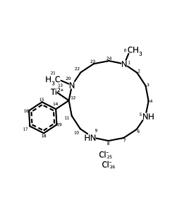 CN1CCCNCCCNCC[C]([Ti+2])(c2ccccc2)N(C)CCC1.[Cl-].[Cl-]